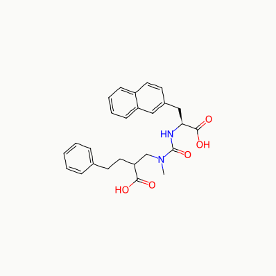 CN(CC(CCc1ccccc1)C(=O)O)C(=O)N[C@@H](Cc1ccc2ccccc2c1)C(=O)O